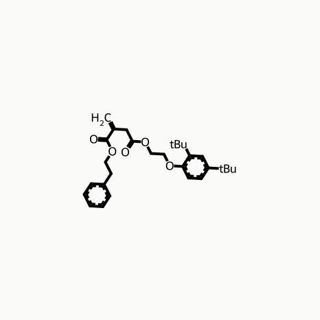 C=C(CC(=O)OCCOc1ccc(C(C)(C)C)cc1C(C)(C)C)C(=O)OCCc1ccccc1